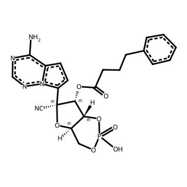 N#C[C@@]1(c2ccc3c(N)ncnn23)O[C@@H]2COP(=O)(O)O[C@H]2[C@H]1OC(=O)CCCc1ccccc1